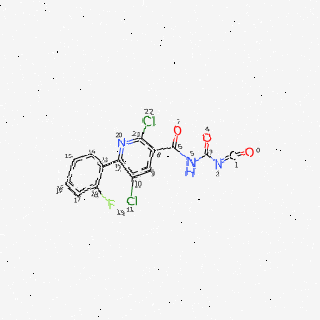 O=C=NC(=O)NC(=O)c1cc(Cl)c(-c2ccccc2F)nc1Cl